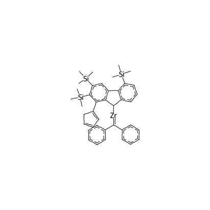 C[Si](C)(C)c1cccc2c1-c1cc([Si](C)(C)C)c([Si](C)(C)C)c(C3=CC=CC3)c1[CH]2[Zr]=[C](c1ccccc1)c1ccccc1